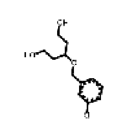 OCCC(CCO)OCc1cccc(Cl)c1